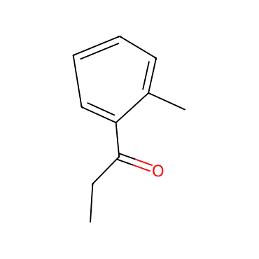 CCC(=O)c1ccccc1C